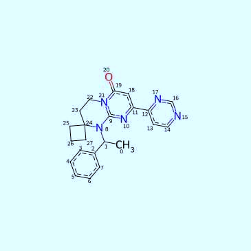 CC(c1ccccc1)N1c2nc(-c3ccncn3)cc(=O)n2CCC12CCC2